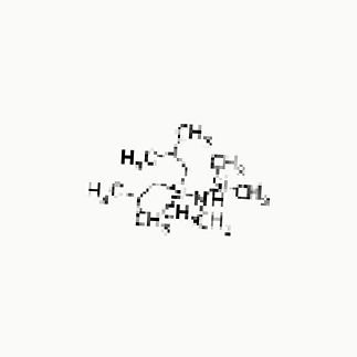 CC(C)C[Si](C)(CC(C)C)N(C)[SiH](C)C